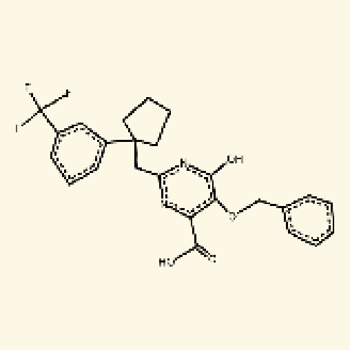 O=C(O)c1nc(CC2(c3cccc(C(F)(F)F)c3)CCCC2)nc(O)c1OCc1ccccc1